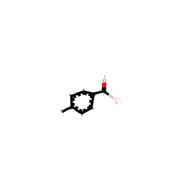 BC(=O)c1ccc(C)cc1